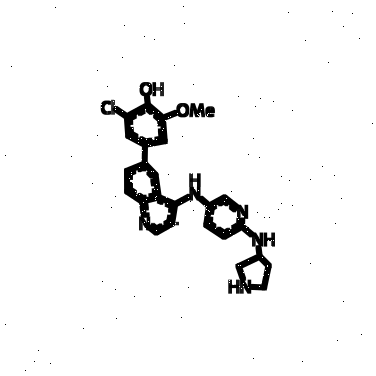 COc1cc(-c2ccc3nc[c]c(Nc4ccc(NC5CCNC5)nc4)c3c2)cc(Cl)c1O